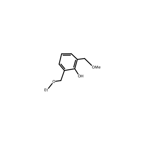 CCOCc1cccc(COC)c1O